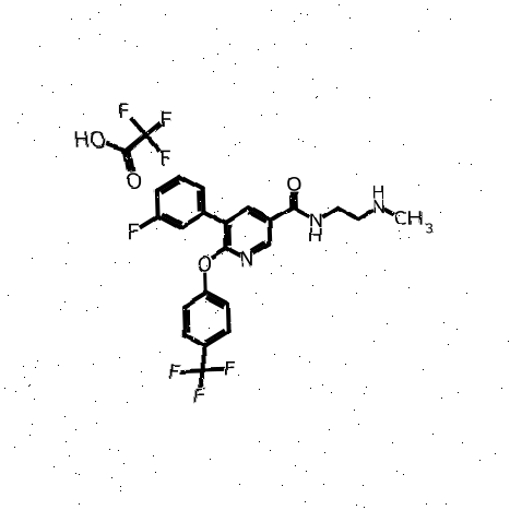 CNCCNC(=O)c1cnc(Oc2ccc(C(F)(F)F)cc2)c(-c2cccc(F)c2)c1.O=C(O)C(F)(F)F